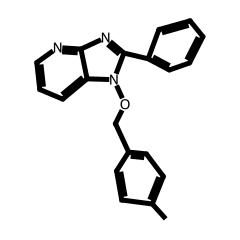 Cc1ccc(COn2c(-c3ccccc3)nc3ncccc32)cc1